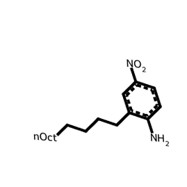 CCCCCCCCCCCCc1cc([N+](=O)[O-])ccc1N